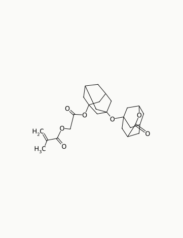 C=C(C)C(=O)OCC(=O)OC12CC3CC(C1)CC(OC14CC5CC(C1)OC(=O)C(C5)C4)(C3)C2